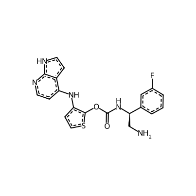 NC[C@@H](NC(=O)Oc1sccc1Nc1ccnc2[nH]ccc12)c1cccc(F)c1